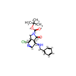 CC(C)(C)OC(=O)N1Cc2c(Cl)ncc(NCc3ccccc3)c2C1=O